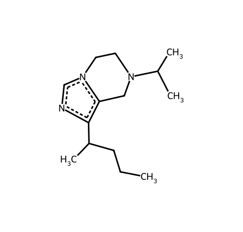 CCCC(C)c1ncn2c1CN(C(C)C)CC2